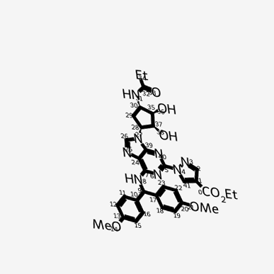 CCOC(=O)c1cnn(-c2nc(NC(c3ccc(OC)cc3)c3ccc(OC)cc3)c3ncn([C@@H]4C[C@H](NC(=O)CC)[C@@H](O)[C@H]4O)c3n2)c1